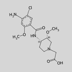 COc1cc(N)c(Cl)cc1C(=O)N[C@H]1CCN(CC(=O)O)C[C@H]1OC